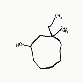 CCC1(O)CCCCCC(O)C1